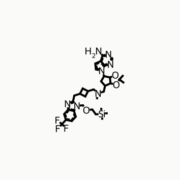 CN(CC1CC(Cc2nc3cc(C(F)(F)F)ccc3n2COCC[Si](C)(C)C)C1)CC1CC(n2ccc3c(N)ncnc32)C2OC(C)(C)OC12